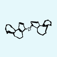 C1=C[CH]([Zr][CH]2C=CC3=C2CCCc2ccccc23)C2=C1c1ccccc1CCC2